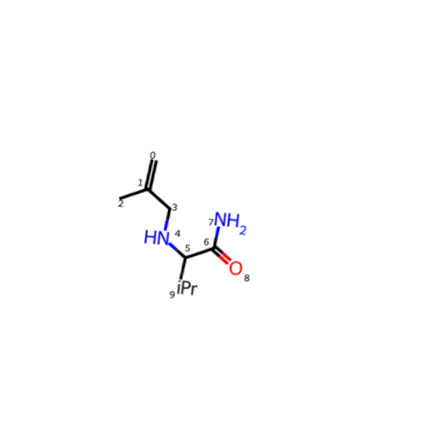 C=C(C)CNC(C(N)=O)C(C)C